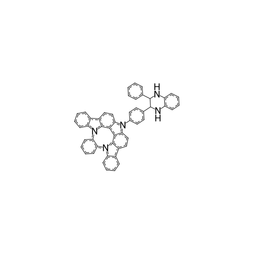 c1ccc(C2Nc3ccccc3NC2c2ccc(-n3c4ccc5c6ccccc6n6c7ccccc7n7c8ccccc8c8ccc3c(c4c56)c87)cc2)cc1